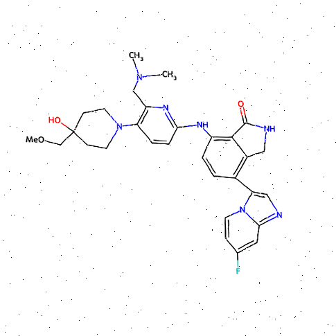 COCC1(O)CCN(c2ccc(Nc3ccc(-c4cnc5cc(F)ccn45)c4c3C(=O)NC4)nc2CN(C)C)CC1